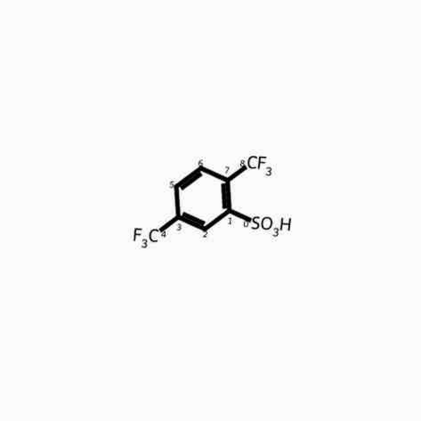 O=S(=O)(O)c1cc(C(F)(F)F)ccc1C(F)(F)F